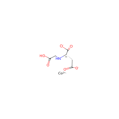 O=C([O-])C[C@H](NCC(=O)O)C(=O)[O-].[Co+2]